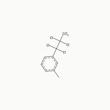 [CH2]c1cccc(C(Cl)(Cl)C(Cl)(Cl)C(Cl)(Cl)Cl)c1